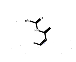 C=C(/C=C\C)NC(=O)CCC